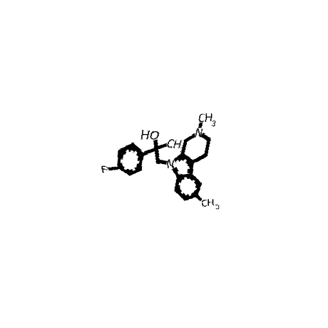 Cc1ccc2c(c1)c1c(n2CC(C)(O)c2ccc(F)cc2)CN(C)CC1